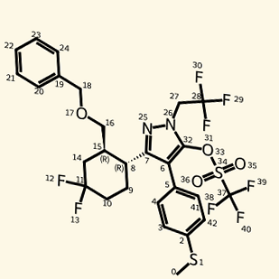 CSc1ccc(-c2c([C@@H]3CCC(F)(F)C[C@H]3COCc3ccccc3)nn(CC(F)(F)F)c2OS(=O)(=O)C(F)(F)F)cc1